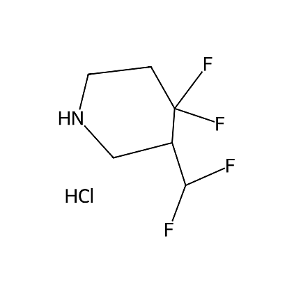 Cl.FC(F)C1CNCCC1(F)F